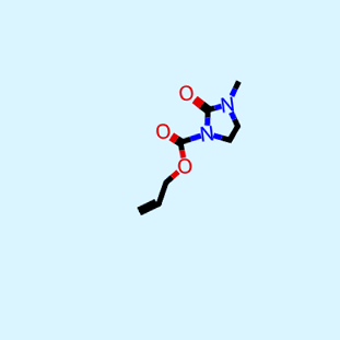 C=CCOC(=O)N1CCN(C)C1=O